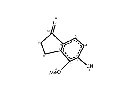 COc1c(C#N)ccc2c1CCC2=O